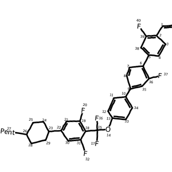 C=Cc1ccc(-c2ccc(-c3ccc(OC(F)(F)c4c(F)cc(C5CCC(CCCCC)CC5)cc4F)cc3)cc2F)cc1F